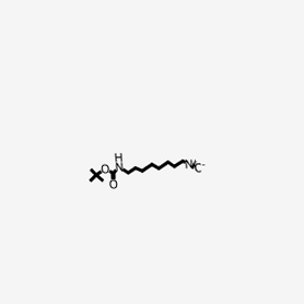 [C-]#[N+]CCCCCCCCNC(=O)OC(C)(C)C